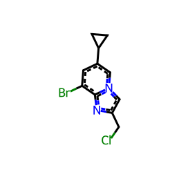 ClCc1cn2cc(C3CC3)cc(Br)c2n1